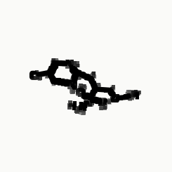 CC(C)OCC(Cc1ncc(Cl)cn1)S(N)(=O)=O